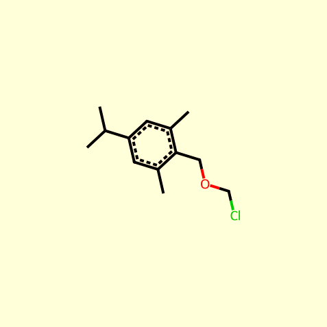 Cc1cc(C(C)C)cc(C)c1COCCl